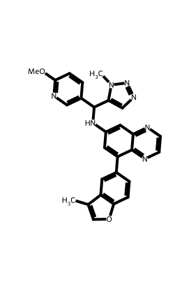 COc1ccc(C(Nc2cc(-c3ccc4occ(C)c4c3)c3nccnc3c2)c2cnnn2C)cn1